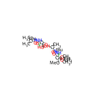 COCc1ccc(C(=O)NN(C(=O)c2cc(C)cc(CCOCc3ccc(C(=O)NN(C(=O)c4cc(C)cc(C)c4)C(C)(C)C)c(F)c3B(O)O)c2)C(C)(C)C)c(F)c1B1OC(C)(C)C(C)(C)O1